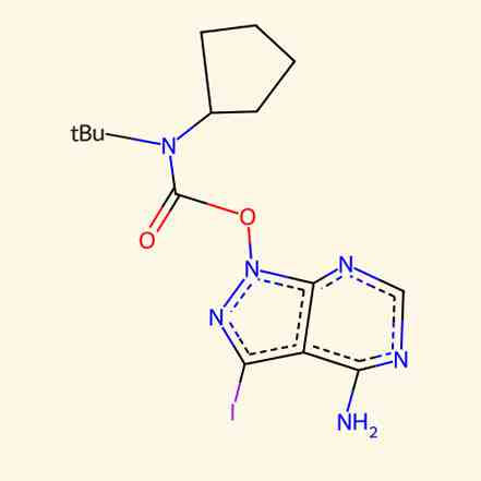 CC(C)(C)N(C(=O)On1nc(I)c2c(N)ncnc21)C1CCCC1